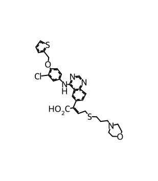 O=C(O)/C(=C/CSCCCN1CCOCC1)c1ccc2ncnc(Nc3ccc(OCc4cccs4)c(Cl)c3)c2c1